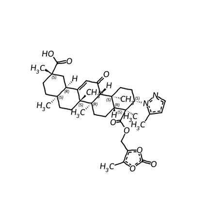 Cc1oc(=O)oc1COC(=O)[C@]1(C)[C@@H](n2nccc2C)CC[C@@]2(C)[C@H]1CC[C@]1(C)[C@@H]2C(=O)C=C2[C@@H]3C[C@@](C)(C(=O)O)CC[C@]3(C)CC[C@]21C